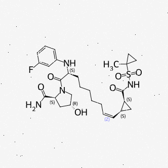 CC1(S(=O)(=O)NC(=O)[C@H]2C[C@H]2/C=C\CCCCC[C@H](Nc2cccc(F)c2)C(=O)N2C[C@H](O)C[C@H]2C(N)=O)CC1